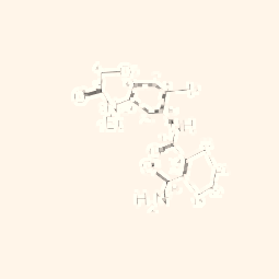 CCN1C(=O)COc2cc(I)c(NC(=O)C3=C(C(N)=O)CCCC3)cc21